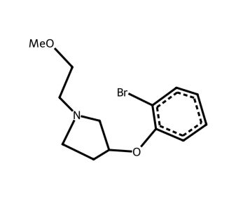 COCCN1CCC(Oc2ccccc2Br)C1